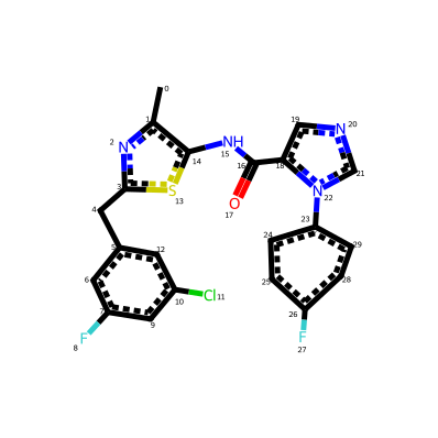 Cc1nc(Cc2cc(F)cc(Cl)c2)sc1NC(=O)c1cncn1-c1ccc(F)cc1